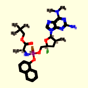 C[C@@H](N[P@](=S)(OC[C@]1(F)C[C@H](C)[C@H](n2cnc3c(N(C)C)nc(N)nc32)O1)Oc1cccc2ccccc12)C(=O)OCC(C)(C)C